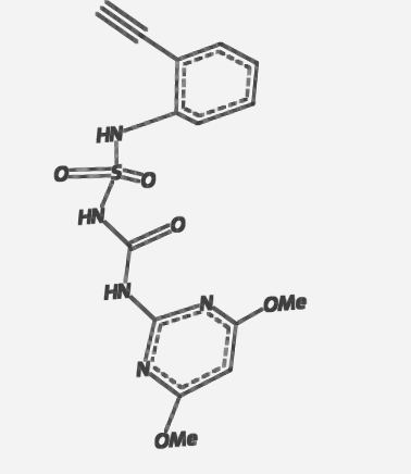 C#Cc1ccccc1NS(=O)(=O)NC(=O)Nc1nc(OC)cc(OC)n1